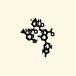 CC(=O)c1cn(CC(=O)N2[C@H](C(=O)Nc3nc(Br)ccc3C3CC3)C[C@@]3(C)C[C@@H]23)c2c(C)cc(-c3cnc4cc(C)nn4c3)cc12